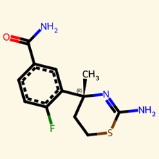 C[C@]1(c2cc(C(N)=O)ccc2F)CCSC(N)=N1